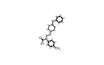 CCC(=O)N(CCN1CCC(Cc2ccccc2)CC1)c1ccc(C)cc1